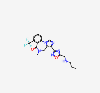 CCCNCc1nc(-c2ncn3c2CN(C)C(=O)c2c-3cccc2C(F)(F)F)no1